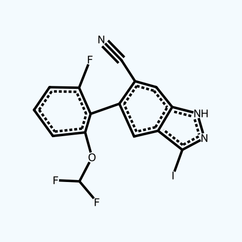 N#Cc1cc2[nH]nc(I)c2cc1-c1c(F)cccc1OC(F)F